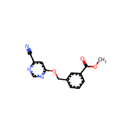 COC(=O)c1cccc(COc2cc(C#N)ncn2)c1